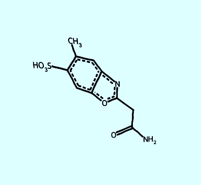 Cc1cc2nc(CC(N)=O)oc2cc1S(=O)(=O)O